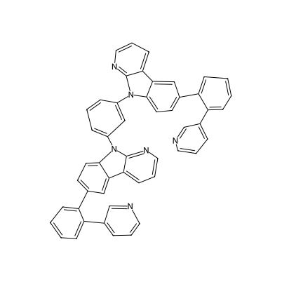 c1cncc(-c2ccccc2-c2ccc3c(c2)c2cccnc2n3-c2cccc(-n3c4ccc(-c5ccccc5-c5cccnc5)cc4c4cccnc43)c2)c1